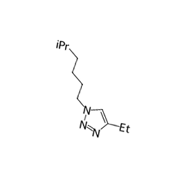 CCc1cn(CCCCC(C)C)nn1